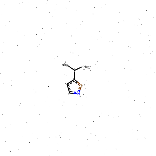 CCCCCCC(CCCC)c1ccns1